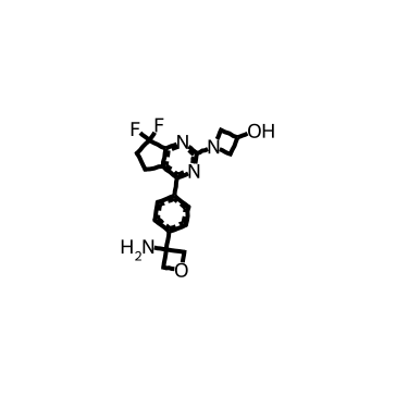 NC1(c2ccc(-c3nc(N4CC(O)C4)nc4c3CCC4(F)F)cc2)COC1